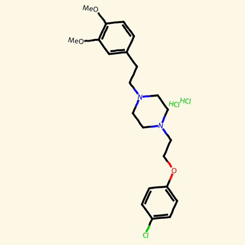 COc1ccc(CCN2CCN(CCOc3ccc(Cl)cc3)CC2)cc1OC.Cl.Cl